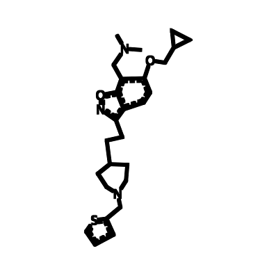 CN(C)Cc1c(OCC2CC2)ccc2c(CCC3CCN(Cc4cccs4)CC3)noc12